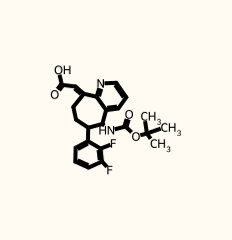 CC(C)(C)OC(=O)NC1c2cccnc2C(=CC(=O)O)CCC1c1cccc(F)c1F